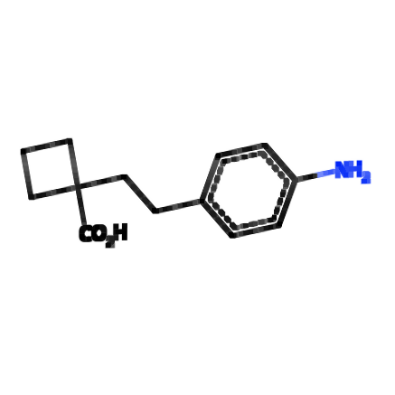 Nc1ccc(CCC2(C(=O)O)CCC2)cc1